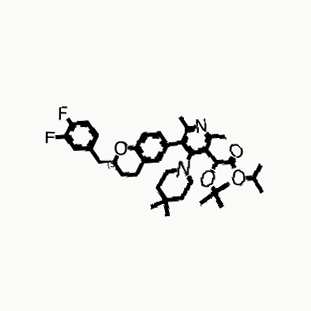 Cc1nc(C)c(C(OC(C)(C)C)C(=O)OC(C)C)c(N2CCC(C)(C)CC2)c1-c1ccc2c(c1)CC[C@@H](Cc1ccc(F)c(F)c1)O2